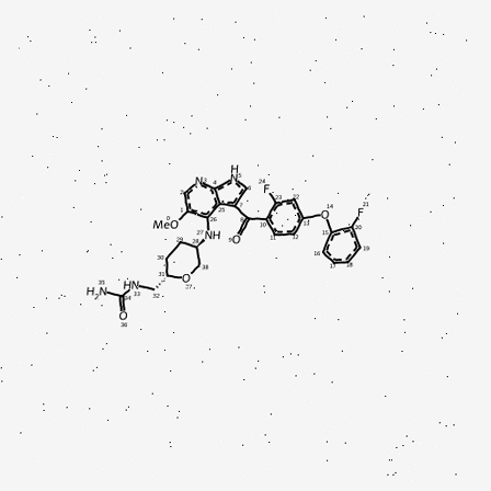 COc1cnc2[nH]cc(C(=O)c3ccc(Oc4ccccc4F)cc3F)c2c1N[C@@H]1CC[C@@H](CNC(N)=O)OC1